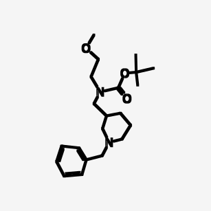 COCCN(CC1CCCN(Cc2ccccc2)C1)C(=O)OC(C)(C)C